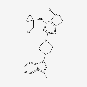 Cn1cc(C2CCN(c3nc4c(c(NC5(CO)CC5)n3)[S+]([O-])CC4)CC2)c2ccccc21